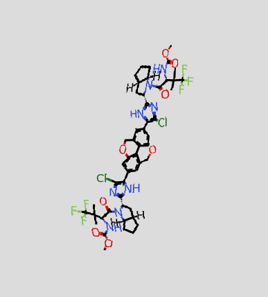 COC(=O)N[C@H](C(=O)N1[C@H](c2nc(Cl)c(-c3cc4c5c(c3)OCc3cc(-c6[nH]c([C@@H]7C[C@@H]8CCC[C@@H]8N7C(=O)[C@@H](NC(=O)OC)C(C)(C)C(F)(F)F)nc6Cl)cc(c3-5)OC4)[nH]2)C[C@@H]2CCC[C@@H]21)C(C)(C)C(F)(F)F